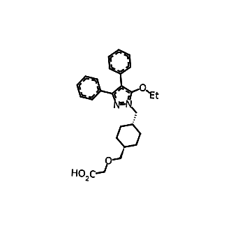 CCOc1c(-c2ccccc2)c(-c2ccccc2)nn1C[C@H]1CC[C@H](COCC(=O)O)CC1